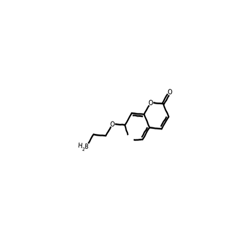 BCCOC(C)/C=c1/oc(=O)cc/c1=C/C